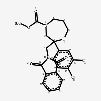 CC(C)(C)OC(=O)N1CCCOC(CN2C(=O)c3ccccc3C2=O)(c2ccc(Cl)c(Cl)c2)C1